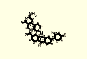 Cc1nc(N)cc(C2=CCOCC2)c1CNC(=O)c1ccc2c(c1)[C@@H]1O[C@H]2c2ccc(-c3ccc(F)cc3F)cc21